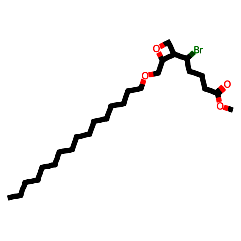 CCCCCCCCCCCCCCCCOCC1OCC1C(Br)CCCC(=O)OC